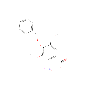 COc1cc(C(=O)O)c([N+](=O)[O-])c(OC)c1OCc1ccccc1